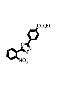 CCOC(=O)c1ccc(-c2nnc(-c3ccccc3[N+](=O)[O-])o2)cc1